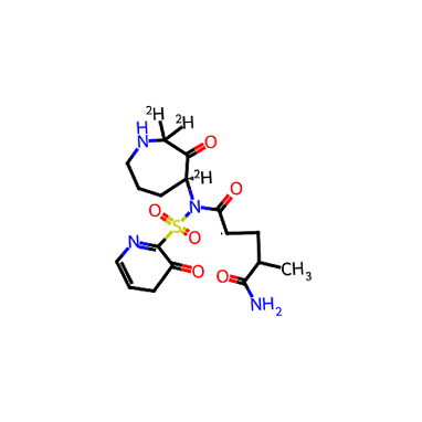 [2H]C1([2H])NCCC[C@]([2H])(N(C(=O)[CH]CC(C)C(N)=O)S(=O)(=O)C2=NC=CCC2=O)C1=O